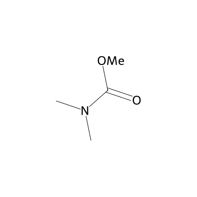 [CH2]OC(=O)N(C)C